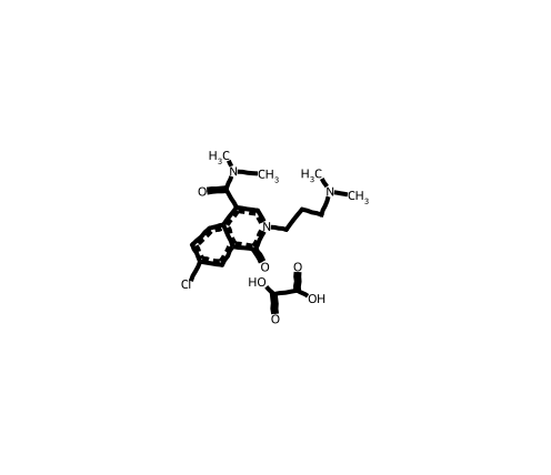 CN(C)CCCn1cc(C(=O)N(C)C)c2ccc(Cl)cc2c1=O.O=C(O)C(=O)O